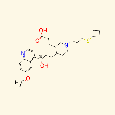 COc1ccc2nccc([C@@H](O)CCC3CCN(CCCSC4CCC4)CC3CCC(=O)O)c2c1